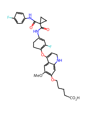 COc1cc2c(cc1OCCCCC(=O)O)NCC=C2OC1=C(F)C=C(NC(=O)C2(C(=O)Nc3ccc(F)cc3)CC2)CC1